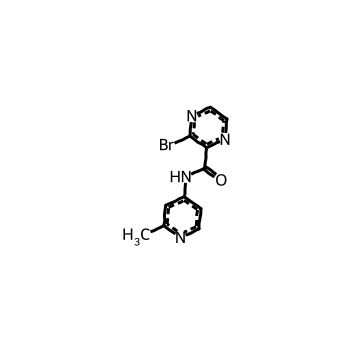 Cc1cc(NC(=O)c2nccnc2Br)ccn1